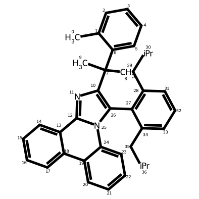 Cc1ccccc1C(C)(C)c1nc2c3ccccc3c3ccccc3n2c1-c1c(CC(C)C)cccc1CC(C)C